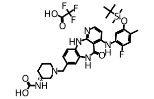 Cc1cc(F)c(Nc2ccnc3c2C(=O)Nc2cc(CN4CCC[C@@H](NC(=O)O)C4)ccc2N3)cc1O[Si](C)(C)C(C)(C)C.O=C(O)C(F)(F)F